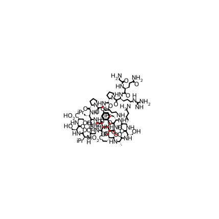 CC[C@H](C)[C@H](NC(=O)[C@H](CC(C)C)NC(=O)[C@@H]1CCCN1C(=O)[C@H](CCCCN)NC(=O)[C@@H]1CCCN1C(=O)[C@H](CCCNC(=N)N)NC(=O)[C@H](CCC(N)=O)NC(=O)CN)C(=O)N[C@@H](Cc1ccc(O)cc1)C(=O)N[C@@H](CCC(=O)O)C(=O)N[C@@H](C)C(=O)N[C@@H](CO)C(=O)N[C@@H](CCCCN)C(=O)N[C@@H](CC(C)C)C(=O)N[C@@H](C)C(=O)N[C@@H](CO)C(=O)NCC(=O)N[C@H](C(=O)N[C@@H](CO)C(=O)N[C@@H](CO)C(=O)O)C(C)C